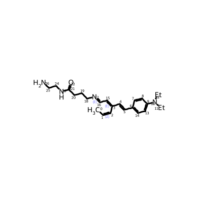 C\C=C/C(C=Cc1ccc(N(CC)CC)cc1)=C\C=N\CCCC(=O)NCCN